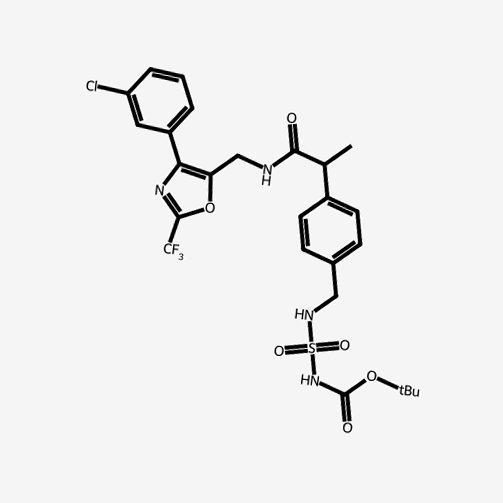 CC(C(=O)NCc1oc(C(F)(F)F)nc1-c1cccc(Cl)c1)c1ccc(CNS(=O)(=O)NC(=O)OC(C)(C)C)cc1